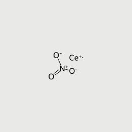 O=[N+]([O-])[O-].[Ce+]